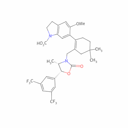 COc1cc2c(cc1C1=C(CN3C(=O)O[C@H](c4cc(C(F)(F)F)cc(C(F)(F)F)c4)[C@@H]3C)CC(C)(C)CC1)N(C(=O)O)CC2